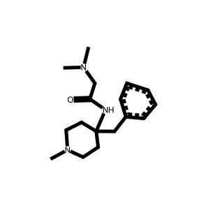 CN(C)CC(=O)NC1(Cc2ccccc2)CCN(C)CC1